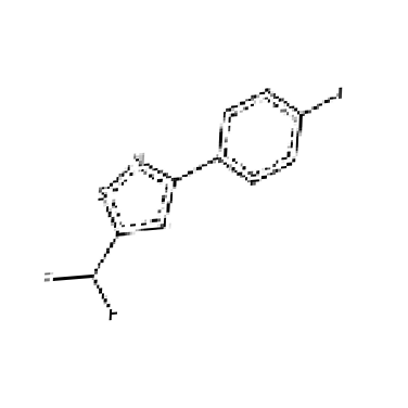 Fc1ccc(-c2[c]c(C(F)F)sn2)cc1